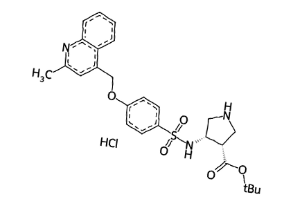 Cc1cc(COc2ccc(S(=O)(=O)N[C@@H]3CNC[C@@H]3C(=O)OC(C)(C)C)cc2)c2ccccc2n1.Cl